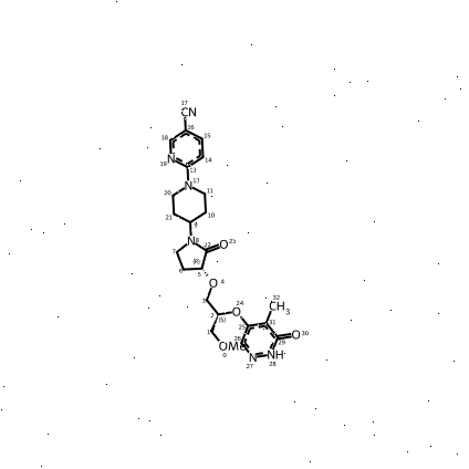 COC[C@@H](CO[C@@H]1CCN(C2CCN(c3ccc(C#N)cn3)CC2)C1=O)Oc1cn[nH]c(=O)c1C